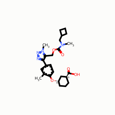 Cc1cc(-c2nnn(C)c2COC(=O)N(C)CC2CCC2)ccc1O[C@H]1CCC[C@H](C(=O)O)C1